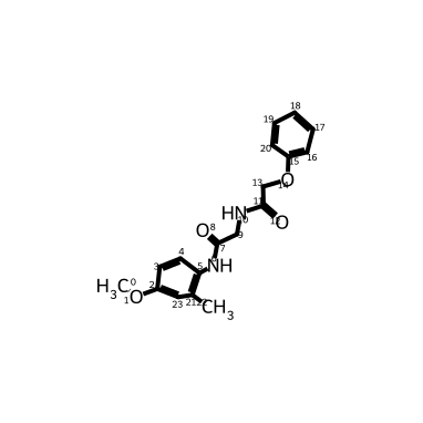 COc1ccc(NC(=O)CNC(=O)COc2ccccc2)c(C)c1